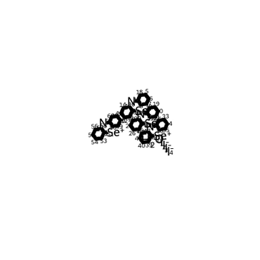 O.[I-].[I-].[I-].[I-].c1ccc2[se+]c3ccccc3nc2c1.c1ccc2[se+]c3ccccc3nc2c1.c1ccc2[se+]c3ccccc3nc2c1.c1ccc2[se+]c3ccccc3nc2c1